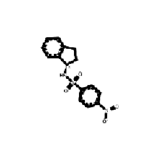 O=[N+]([O-])c1ccc(S(=O)(=O)N[C@@H]2CCc3ccccc32)cc1